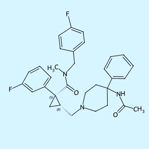 CC(=O)NC1(c2ccccc2)CCN(C[C@@H]2C[C@@]2(C(=O)N(C)Cc2ccc(F)cc2)c2cccc(F)c2)CC1